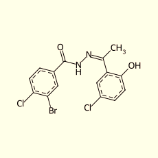 CC(=NNC(=O)c1ccc(Cl)c(Br)c1)c1cc(Cl)ccc1O